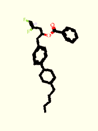 CCCCCC1CCC(c2ccc(CC(C/C(F)=C/F)OC(=O)c3ccccc3)cc2)CC1